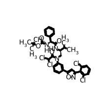 CC(C)[C@@H](CN(C(=O)C(Cl)Cl)c1cccc(-c2cc(-c3c(Cl)cccc3Cl)no2)c1)NC(=O)[C@@H](NC(=O)OC(C)(C)C)c1ccccc1